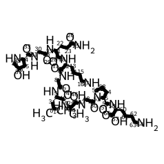 CC(C)C[C@H](NC(=O)CNC(=O)[C@H](CCCCN)NC(=O)[C@H](CCC(N)=O)NC(=O)CNC(=O)[C@@H]1C[C@@H](O)CN1)C(=O)N[C@@H](C)C(=O)NCC(=O)N1CCC[C@H]1C(=O)N[C@@H](CCCCN)C(=O)O